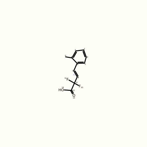 Cc1ccccc1/C=C/C(F)(F)C(=O)O